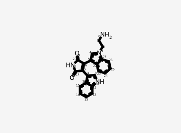 NCCn1cc(C2=C(c3c[nH]c4ccccc34)C(=O)NC2=O)c2ccccc21